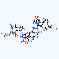 CCNC(=O)[C@H](CNC(=O)C1(c2ccc3[nH]c(C(NC=O)C4CCC(C)CC4(C)C)nc3c2)CCOC1)C1(C)CCC1